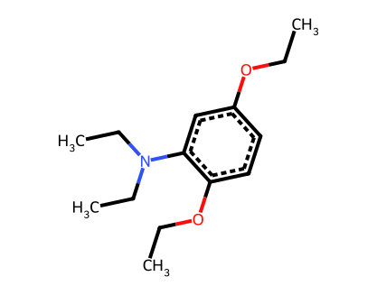 CCOc1ccc(OCC)c(N(CC)CC)c1